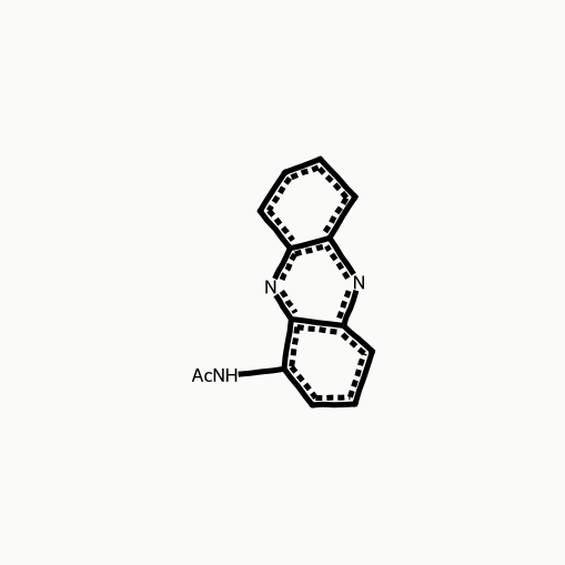 CC(=O)Nc1cccc2nc3ccccc3nc12